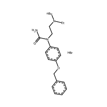 Br.CCCCN(CC)CCN(C(N)=O)c1ccc(OCc2ccccc2)cc1